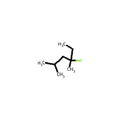 CCC(C)(F)CC(C)C